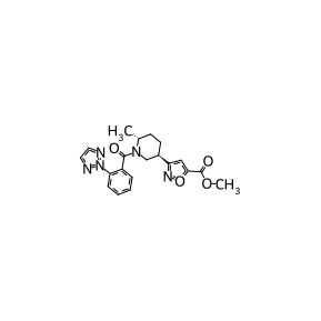 COC(=O)c1cc([C@@H]2CC[C@@H](C)N(C(=O)c3ccccc3-n3nccn3)C2)no1